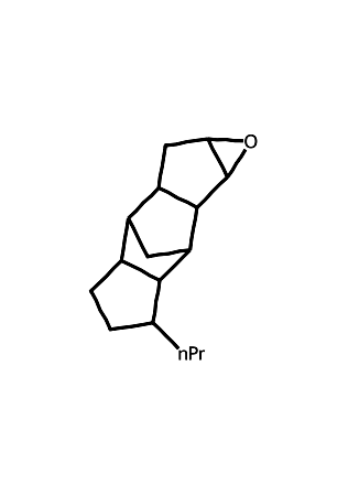 CCCC1CCC2C3CC(C12)C1C3CC2OC21